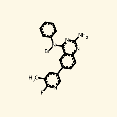 Cc1cc(-c2ccc3nc(N)nc(N(Br)c4ccccc4)c3c2)cnc1F